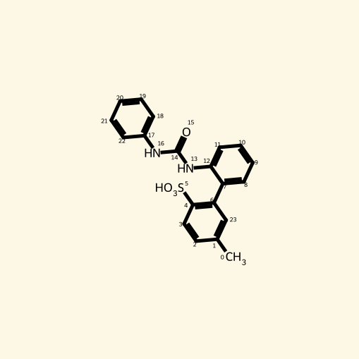 Cc1ccc(S(=O)(=O)O)c(-c2ccccc2NC(=O)Nc2ccccc2)c1